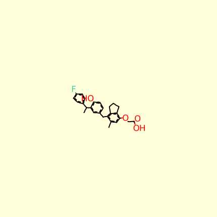 Cc1cc(OCC(=O)O)c2c(c1Cc1ccc(O)c(C(C)c3ccc(F)cc3)c1)CCC2